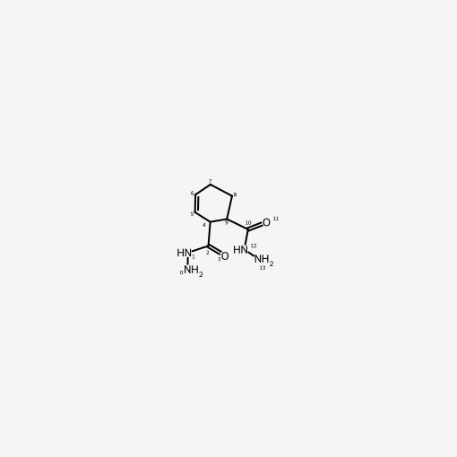 NNC(=O)C1C=CCCC1C(=O)NN